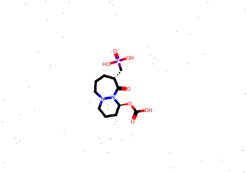 O=C(O)O[C@H]1CCCN2CCC[C@H](CP(=O)(O)O)C(=O)N12